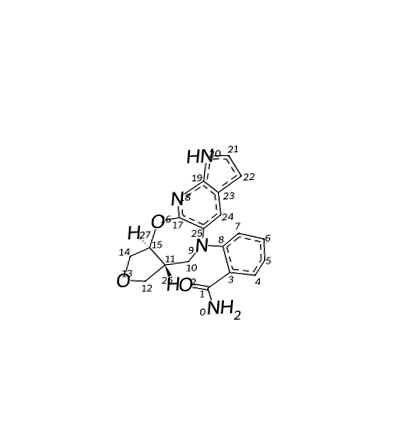 NC(=O)c1ccccc1N1C[C@@H]2COC[C@H]2Oc2nc3[nH]ccc3cc21